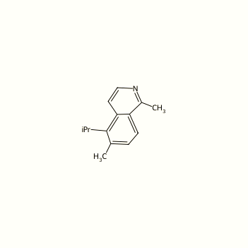 Cc1ccc2c(C)nccc2c1C(C)C